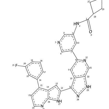 O=C(Nc1cncc(-c2cc3c(-c4cc5c(-c6cccc(F)c6)ccnc5[nH]4)n[nH]c3cn2)c1)C1CCC1